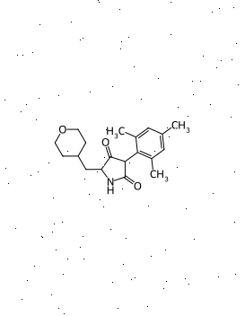 Cc1cc(C)c(C2C(=O)NC(CC3CCOCC3)C2=O)c(C)c1